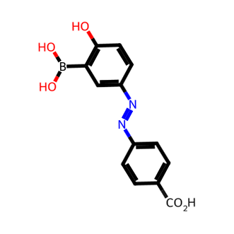 O=C(O)c1ccc(N=Nc2ccc(O)c(B(O)O)c2)cc1